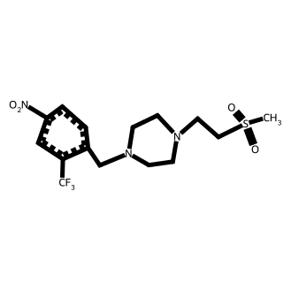 CS(=O)(=O)CCN1CCN(Cc2ccc([N+](=O)[O-])cc2C(F)(F)F)CC1